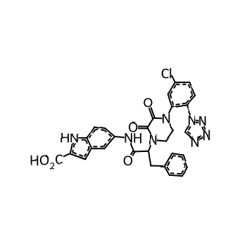 O=C(O)c1cc2cc(NC(=O)C(Cc3ccccc3)N3CCN(c4cc(Cl)ccc4-n4cnnn4)C(=O)C3=O)ccc2[nH]1